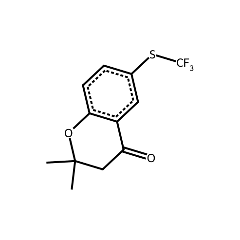 CC1(C)CC(=O)c2cc(SC(F)(F)F)ccc2O1